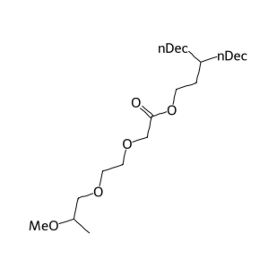 CCCCCCCCCCC(CCCCCCCCCC)CCOC(=O)COCCOCC(C)OC